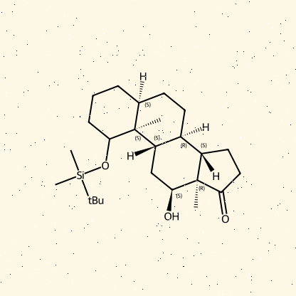 CC(C)(C)[Si](C)(C)OC1CCC[C@H]2CC[C@H]3[C@@H]4CCC(=O)[C@@]4(C)[C@@H](O)C[C@@H]3[C@@]12C